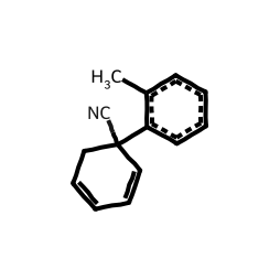 Cc1ccccc1C1(C#N)C=CC=CC1